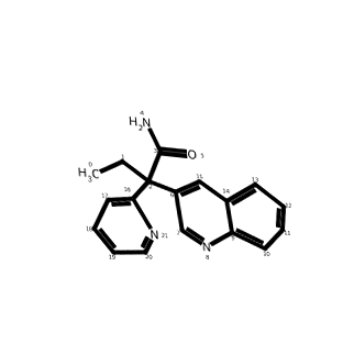 CCC(C(N)=O)(c1cnc2ccccc2c1)c1ccccn1